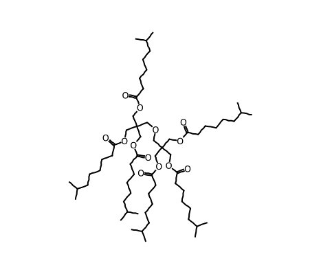 CC(C)CCCCCC(=O)OCC(COCC(COC(=O)CCCCCC(C)C)(COC(=O)CCCCCC(C)C)COC(=O)CCCCCC(C)C)(COC(=O)CCCCCC(C)C)COC(=O)CCCCCC(C)C